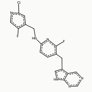 Fc1cnc(Cl)cc1CNc1ccc(Cc2c[nH]c3ncncc23)c(F)n1